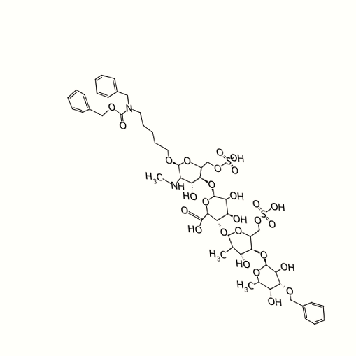 CNC1[C@@H](OCCCCCN(Cc2ccccc2)C(=O)OCc2ccccc2)OC(COS(=O)(=O)O)[C@@H](O[C@@H]2OC(C(=O)O)[C@@H](O[C@H]3OC(COS(=O)(=O)O)[C@@H](O[C@@H]4OC(C)[C@@H](O)[C@@H](OCc5ccccc5)C4O)[C@H](O)C3C)[C@H](O)C2O)[C@@H]1O